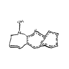 ON1CC=Cc2cc3ccccc3nc21